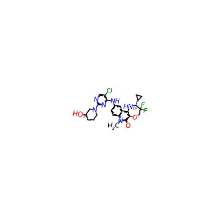 Cn1c(=O)c2c(c3cc(Nc4nc(N5CCC[C@@H](O)C5)ncc4Cl)ccc31)N[C@@H](C1CC1)C(F)(F)CO2